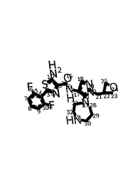 Nc1sc(-c2c(F)cccc2F)nc1C(=O)Nc1cnn(CC2COC2)c1N1CCCNCC1